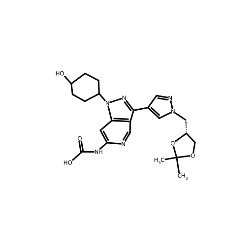 CC1(C)OC[C@@H](Cn2cc(-c3nn(C4CCC(O)CC4)c4cc(NC(=O)O)ncc34)cn2)O1